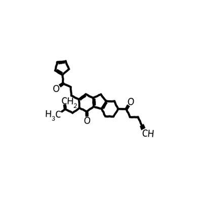 C#CCCC(=O)C1CCC2=C(CC3=C2C(=O)C(CC(=C)C)C(CCC(=O)C2=CC=CC2)=C3)C1